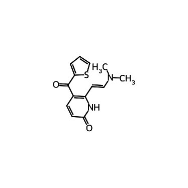 CN(C)C=Cc1[nH]c(=O)ccc1C(=O)c1cccs1